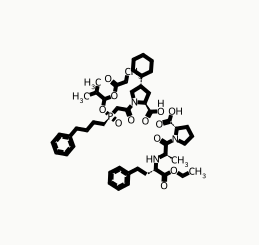 CCC(=O)OC(O[P@](=O)(CCCCc1ccccc1)CC(=O)N1C[C@H](C2CCCCC2)C[C@H]1C(=O)O)C(C)C.CCOC(=O)[C@H](CCc1ccccc1)N[C@@H](C)C(=O)N1CCC[C@H]1C(=O)O